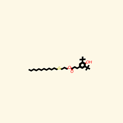 CCCCCCCCCCCCSCCCOC(=O)CCc1cc(C(C)(C)C)c(O)c(C(C)(C)C)c1